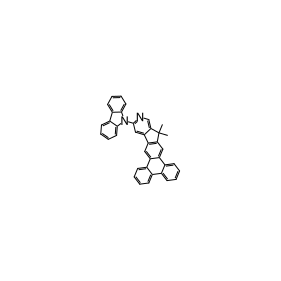 CC1(C)c2cnc(-n3c4ccccc4c4ccccc43)cc2-c2cc3c4ccccc4c4ccccc4c3cc21